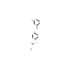 CCOC(=O)N(N)c1ccc(OCc2cccc(Cl)c2)cc1